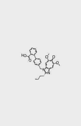 CCCCc1nc2cc(OC)c(=O)c(OC)cc2n1Cc1ccc(-c2ccccc2C(=O)O)cc1